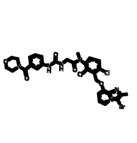 Cc1nc2c(OCc3c(Cl)ccc(N(C)C(=O)CNC(=O)Nc4cccc(C(=O)N5CCOCC5)c4)c3Cl)cccn2c1Br